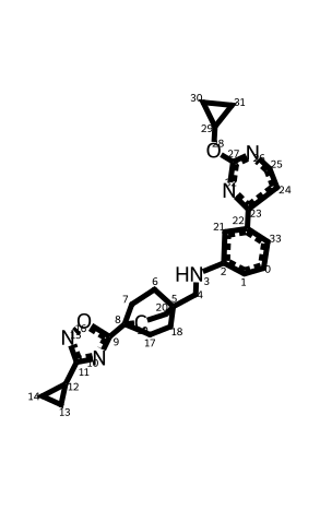 c1cc(NCC23CCC(c4nc(C5CC5)no4)(CC2)CC3)cc(-c2ccnc(OC3CC3)n2)c1